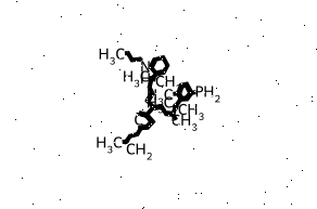 C=C(C)CCc1ccc(C(=C\C=C(\C)C(C)(C)c2cc(P)ccc2C)/C=C/CC(C)(C)C2=CCCC=C2NCCCC)cc1